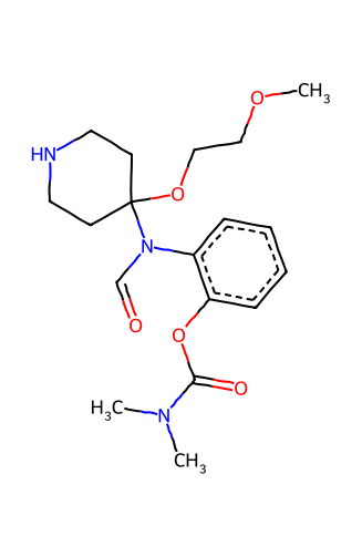 COCCOC1(N(C=O)c2ccccc2OC(=O)N(C)C)CCNCC1